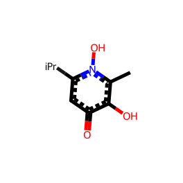 Cc1c(O)c(=O)cc(C(C)C)n1O